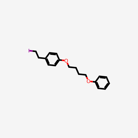 ICCc1ccc(OCCCCOc2ccccc2)cc1